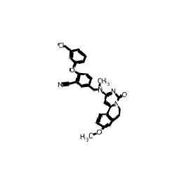 COc1ccc2c(c1)CCn1c-2cc(N(C)Cc2ccc(Oc3cccc(Cl)c3)c(C#N)c2)nc1=O